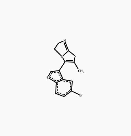 CC1=C(c2csc3ccc(Br)cc23)N2CCN=C2S1